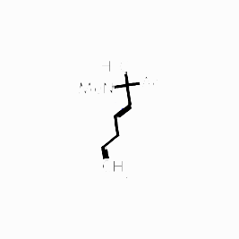 C=CC/C=C/C(C)(NC)C(C)=O